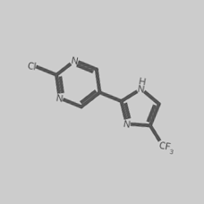 FC(F)(F)c1c[nH]c(-c2cnc(Cl)nc2)n1